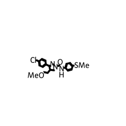 COCCC1CN(C(=O)Nc2ccc(SC)cc2)N=C1c1ccc(Cl)cc1